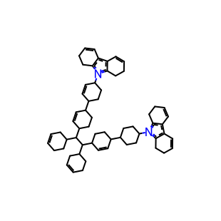 C1=Cc2c3c(n(C4C=CC(C5C=CC(C(C6CC=CCC6)C(C6C=CC(C7CCC(n8c9c(c%10c8CCC=C%10)C=CCC9)CC7)CC6)C6CC=CCC6)CC5)CC4)c2CC1)CCC=C3